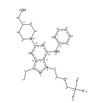 CCc1nn(CCOCC(F)(F)F)c2c(Nc3ccccn3)nc(N3CCC(CO)CC3)nc12